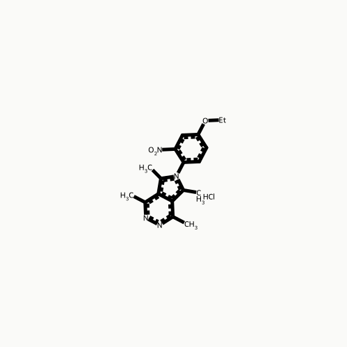 CCOc1ccc(-n2c(C)c3c(C)nnc(C)c3c2C)c([N+](=O)[O-])c1.Cl